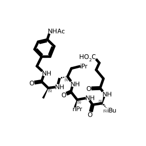 CCC[C@H](NC(=O)[C@@H](NC(=O)CCCC(=O)O)[C@@H](C)CC)C(=O)N[C@H](CN[C@@H](C)C(=O)NCc1ccc(NC(C)=O)cc1)CC(C)C